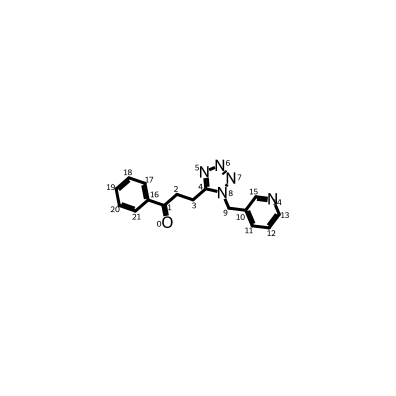 O=C(CCc1nnnn1Cc1cccnc1)c1ccccc1